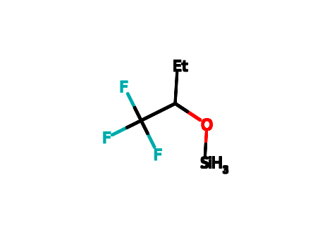 CCC(O[SiH3])C(F)(F)F